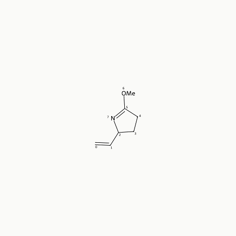 C=CC1CCC(OC)=N1